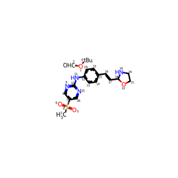 CC(C)(C)OC=O.CS(=O)(=O)c1cnc(Nc2ccc(C=CC3NCCO3)cc2)nc1